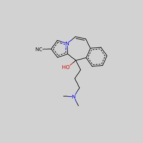 CN(C)CCCC1(O)c2ccccc2C=Cn2cc(C#N)cc21